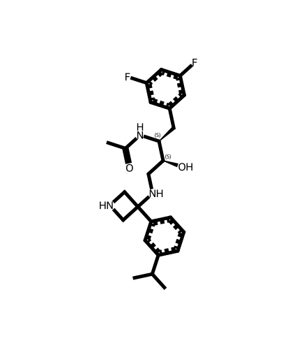 CC(=O)N[C@@H](Cc1cc(F)cc(F)c1)[C@@H](O)CNC1(c2cccc(C(C)C)c2)CNC1